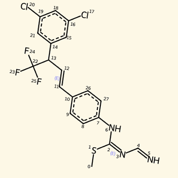 CS/C(=N/C=N)Nc1ccc(/C=C/C(c2cc(Cl)cc(Cl)c2)C(F)(F)F)cc1